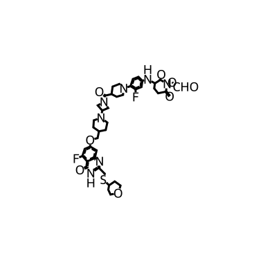 O=CON1C(=O)CCC(Nc2ccc(N3CCC(C(=O)N4CC(N5CCC(COc6cc(F)c7c(=O)[nH]c(CSC8CCOCC8)nc7c6)CC5)C4)CC3)c(F)c2)C1=O